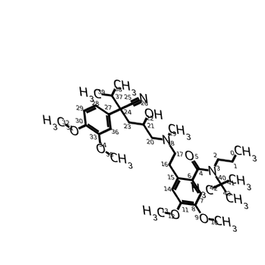 CCCN(C(=O)c1cc(OC)c(OC)cc1CCN(C)CC(O)CC(C#N)(c1ccc(OC)c(OC)c1)C(C)C)C(C)(C)C